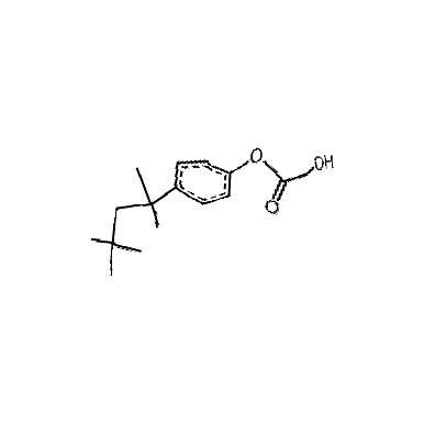 CC(C)(C)CC(C)(C)c1ccc(OC(=O)O)cc1